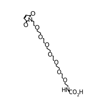 O=C(O)NCCOCCOCCOCCOCCOCCOCCOCCN1C(=O)C=CC1=O